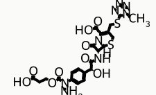 Cn1nnnc1SCC1=C(C(=O)O)N2C(=O)[C@@H](NC(=O)[C@H](O)c3ccc(N(N)C(=O)OCCC(=O)O)cc3)[C@H]2SC1